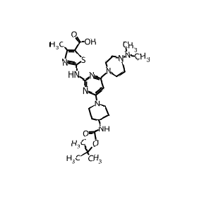 Cc1nc(Nc2nc(N3CCC(NC(=O)OC(C)(C)C)CC3)cc(N3CCN(N(C)C)CC3)n2)sc1C(=O)O